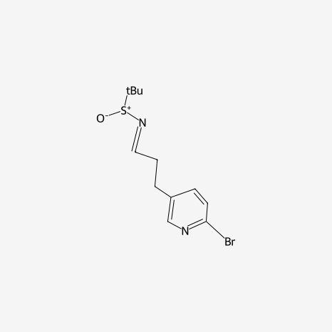 CC(C)(C)[S+]([O-])/N=C/CCc1ccc(Br)nc1